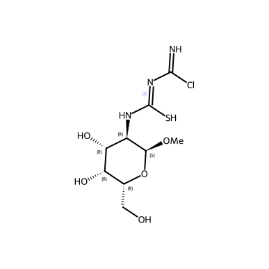 CO[C@H]1O[C@H](CO)[C@H](O)[C@H](O)[C@H]1N/C(S)=N/C(=N)Cl